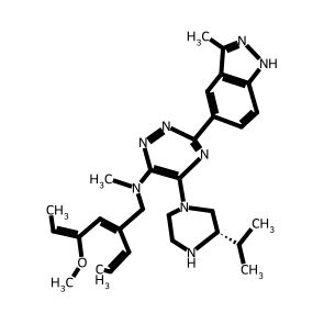 C\C=C/C(=C\C(=C/C)OC)CN(C)c1nnc(-c2ccc3[nH]nc(C)c3c2)nc1N1CCN[C@@H](C(C)C)C1